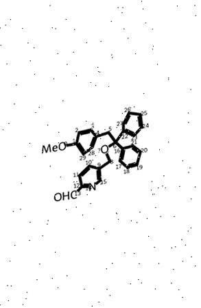 COc1ccc(CC(OCc2ccc(C=O)nc2)(c2ccccc2)c2ccccc2)cc1